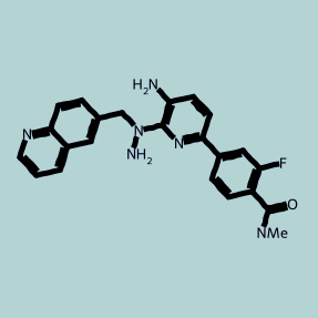 CNC(=O)c1ccc(-c2ccc(N)c(N(N)Cc3ccc4ncccc4c3)n2)cc1F